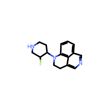 FC1CNCCC1N1CCc2cncc3cccc1c23